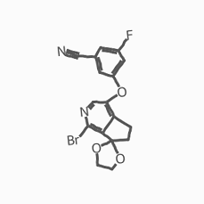 N#Cc1cc(F)cc(Oc2cnc(Br)c3c2CCC32OCCO2)c1